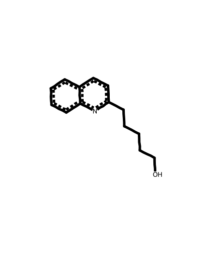 OCCCCCc1ccc2ccccc2n1